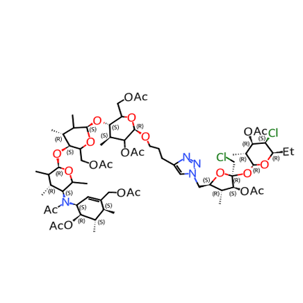 CC[C@H]1O[C@H](O[C@]2(CCl)O[C@H](Cn3cc(CCCO[C@@H]4OC(COC(C)=O)[C@@H](O[C@H]5OC(COC(C)=O)[C@@H](O[C@H]6OC(C)[C@@H](N(C(C)=O)[C@H]7C=C(COC(C)=O)[C@@H](C)[C@H](C)[C@H]7OC(C)=O)[C@H](C)C6C)[C@H](C)C5C)[C@H](C)C4OC(C)=O)nn3)[C@@H](C)[C@@H]2OC(C)=O)[C@H](C)[C@@H](OC(C)=O)[C@H]1Cl